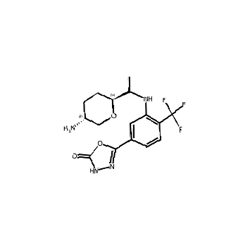 CC(Nc1cc(-c2n[nH]c(=O)o2)ccc1C(F)(F)F)[C@@H]1CC[C@@H](N)CO1